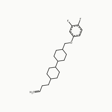 C=CCCC1CCC(C2CCC(COc3ccc(F)c(F)c3)CC2)CC1